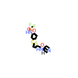 O=C(N[C@H]1CN2CCC1CC2)c1ccc(Sc2cccc(NS(=O)(=O)C(F)F)c2)s1